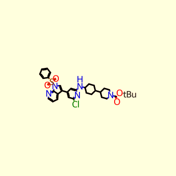 CC(C)(C)OC(=O)N1CCC(C2CCC(Nc3cc(-c4cn(S(=O)(=O)c5ccccc5)c5ncccc45)cc(Cl)n3)CC2)CC1